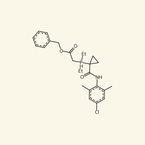 CC[PH](CC)(CC(=O)OCc1ccccc1)C1(C(=O)Nc2c(C)cc(Cl)cc2C)CC1